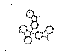 Cn1c2ccccc2c2cc(C3(c4ccc5c(c4)c4ccccc4n5C)c4cccnc4-c4ncccc43)ccc21